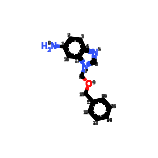 Nc1ccc2ncn(COCc3ccccc3)c2c1